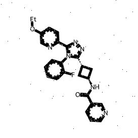 CCOc1ccc(-c2nnc([C@H]3C[C@H](NC(=O)c4cccnc4)C3)n2-c2ccccc2F)nc1